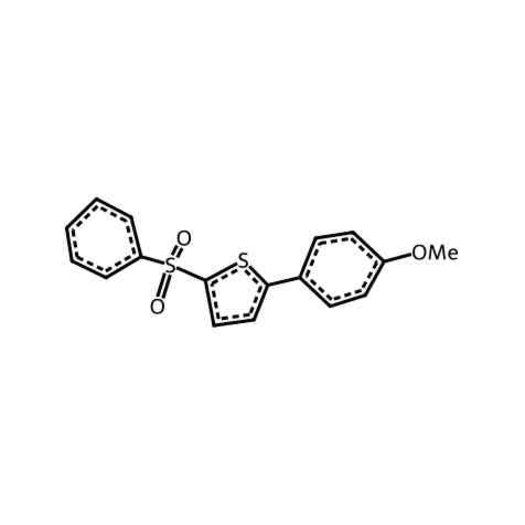 COc1ccc(-c2ccc(S(=O)(=O)c3ccccc3)s2)cc1